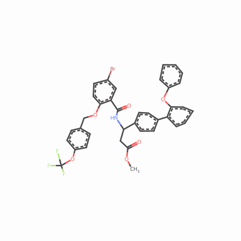 COC(=O)CC(NC(=O)c1cc(Br)ccc1OCc1ccc(OC(F)(F)F)cc1)c1ccc(-c2ccccc2Oc2ccccc2)cc1